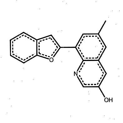 Cc1cc(-c2cc3ccccc3o2)c2ncc(O)cc2c1